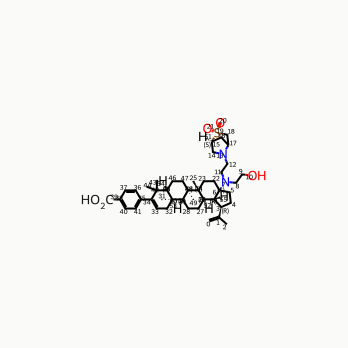 C=C(C)[C@@H]1CC[C@]2(N(CCO)CCN3C[C@@H]4CC3CS4(=O)=O)CC[C@]3(C)[C@H](CC[C@@H]4[C@@]5(C)CC=C(c6ccc(C(=O)O)cc6)C(C)(C)[C@@H]5CC[C@]43C)[C@@H]12